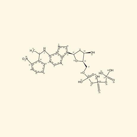 CC(Nc1ncnc2c1ncn2[C@H]1C[C@@H](O)[C@@H](COP(=O)(O)OP(=O)(O)OP(=O)(O)O)O1)c1ccccc1[N+](=O)[O-]